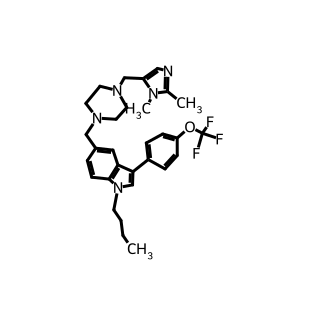 CCCCn1cc(-c2ccc(OC(F)(F)F)cc2)c2cc(CN3CCN(Cc4cnc(C)n4C)CC3)ccc21